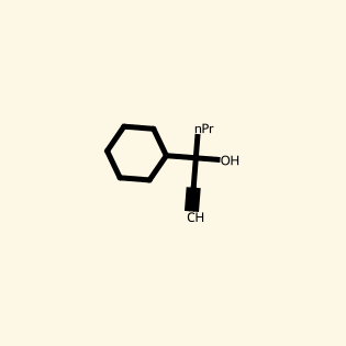 C#CC(O)(CCC)C1CCCCC1